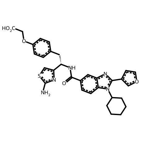 Nc1nc([C@H](Cc2ccc(OCC(=O)O)cc2)NC(=O)c2ccc3c(c2)nc(-c2ccoc2)n3C2CCCCC2)cs1